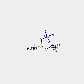 CC(=O)N[C@@H](CC(=O)O)C[N+](C)(C)C.[Cl-]